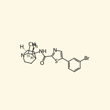 C[C@H]1[C@H](NC(=O)c2ncc(-c3cccc(Br)c3)s2)C2CCN1CC2